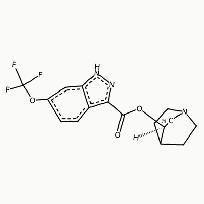 O=C(O[C@H]1CN2CCC1CC2)c1n[nH]c2cc(OC(F)(F)F)ccc12